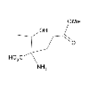 COC(=O)CCC(N)(C(=O)O)C(C)O